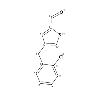 O=Cc1cc(Cc2ccccc2Cl)cs1